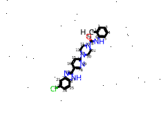 Cc1ccccc1NC(=O)N1CCN(c2ccc(-c3nc4cc(Cl)ccc4[nH]3)cn2)CC1